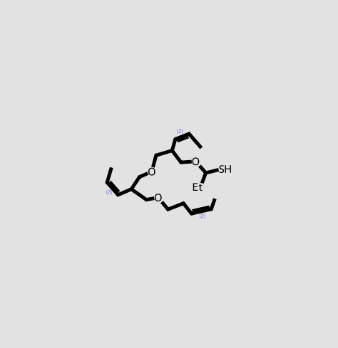 C/C=C\CCOCC(/C=C\C)COCC(/C=C\C)COC(S)CC